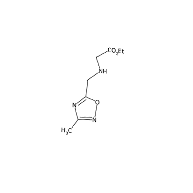 CCOC(=O)CNCc1nc(C)no1